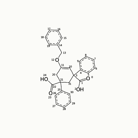 O=C(O)C1(c2ccccc2)C=C(OCc2ccccc2)CC(C(=O)O)(c2ccccc2)C1